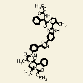 C=C1CCN(C(=O)[C@H](NC(=O)OC)c2ccccc2)[C@@H]1c1nc2cc(-c3ncc(-c4cccc(NC(=O)[C@H](C)N(CCC)C(=O)[C@H](NC(=O)OC)c5ccccc5)c4)o3)ccc2[nH]1